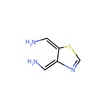 N/C=c1/ncs/c1=C/N